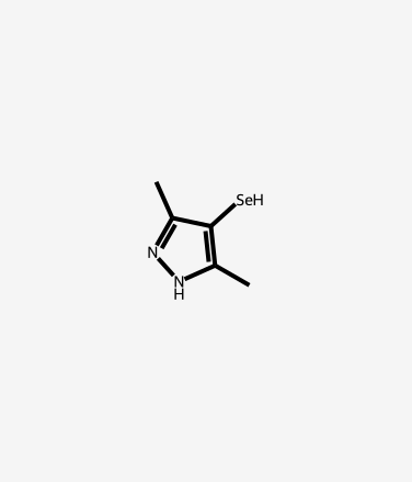 Cc1n[nH]c(C)c1[SeH]